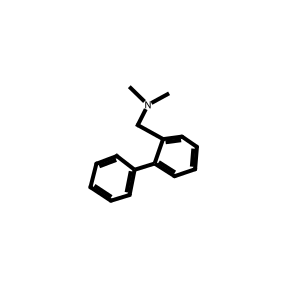 CN(C)Cc1ccccc1-c1[c]cccc1